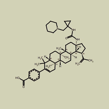 C=C(C)[C@@H]1CC[C@]2(NC(=O)NC3(CN4CCCCC4)CC3)CC[C@]3(C)[C@H](CC[C@@H]4[C@@]5(C)CC=C(c6ccc(C(=O)O)cc6)C(C)(C)[C@@H]5CC[C@]43C)[C@@H]12